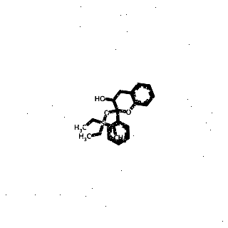 CC[Si](CC)(CC)OC1(c2ccccc2)Oc2ccccc2CC1O